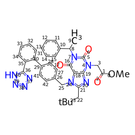 COC(=O)Cn1c(=O)n(C(C)c2ccccc2)c(=O)c2c1nc(CC(C)(C)C)n2Cc1ccc(-c2ccccc2-c2nnn[nH]2)cc1